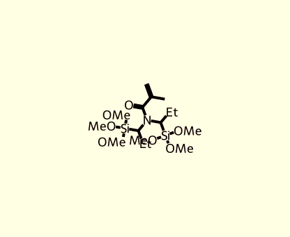 C=C(C)C(=O)N(C(CC)[Si](OC)(OC)OC)C(CC)[Si](OC)(OC)OC